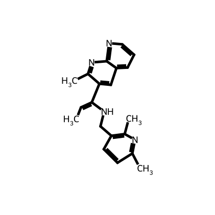 CC=C(NCc1ccc(C)nc1C)c1cc2cccnc2nc1C